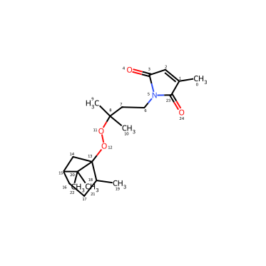 CC1=CC(=O)N(CCC(C)(C)OOC23CC(CCC2C)C3(C)C)C1=O